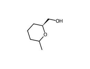 CC1CCC[C@@H](CO)O1